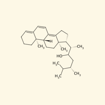 CC(C)[C@@H](C)CC(O)[C@@H](C)[C@H]1CCC2=C3C=CC4=CCCC[C@]4(C)[C@H]3CC[C@@]21C